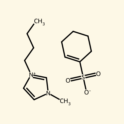 CCCC[n+]1ccn(C)c1.O=S(=O)([O-])C1=CCCCC1